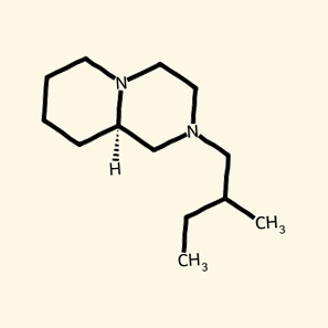 CCC(C)CN1CCN2CCCC[C@@H]2C1